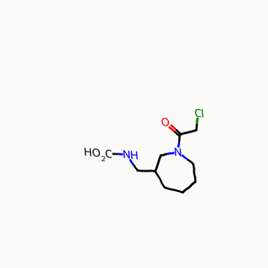 O=C(O)NCC1CCCCN(C(=O)CCl)C1